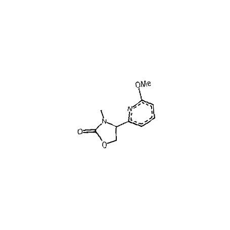 COc1cccc(C2COC(=O)N2C)n1